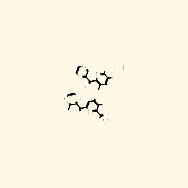 COC(=O)c1nc(C(=O)c2nccnc2C)cc(Cl)c1Cl.Cc1c(C(=O)c2cnccn2)nc(C(=O)O)c(Cl)c1Cl